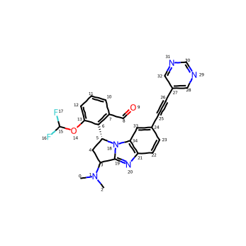 CN(C)C1C[C@H](c2c(C=O)cccc2OC(F)F)n2c1nc1ccc(C#Cc3cncnc3)cc12